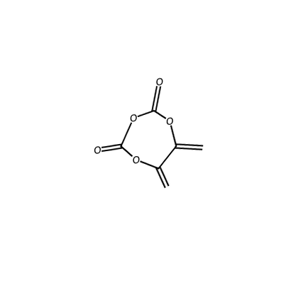 C=C1OC(=O)OC(=O)OC1=C